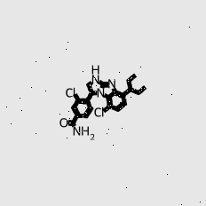 CCC(CC)c1ccc(Cl)c2c1nc1n2C(c2ccc(C(N)=O)cc2Cl)CN1